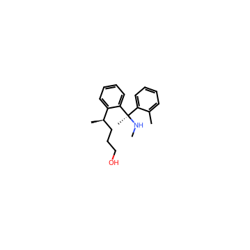 CN[C@](C)(c1ccccc1C)c1ccccc1[C@H](C)CCCO